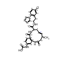 CC1/C=C/CC(C(=O)NCCc2cc(Cl)ccc2-n2cnnn2)NC(=O)c2ccc(NC(=O)O)cc2NC(=O)C1